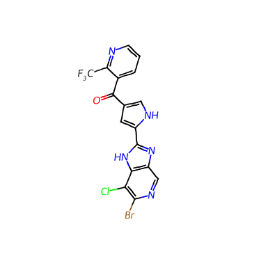 O=C(c1c[nH]c(-c2nc3cnc(Br)c(Cl)c3[nH]2)c1)c1cccnc1C(F)(F)F